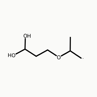 [CH2]C(C)OCCC(O)O